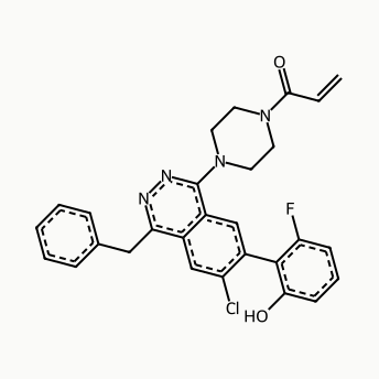 C=CC(=O)N1CCN(c2nnc(Cc3ccccc3)c3cc(Cl)c(-c4c(O)cccc4F)cc23)CC1